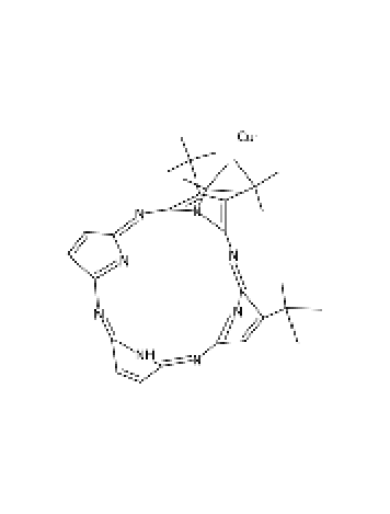 CC(C)(C)C1=Cc2nc1nc1c(C(C)(C)C)c(C(C)(C)C)c(nc3nc(nc4ccc(n2)[nH]4)C=C3)n1C(C)(C)C.[Cu]